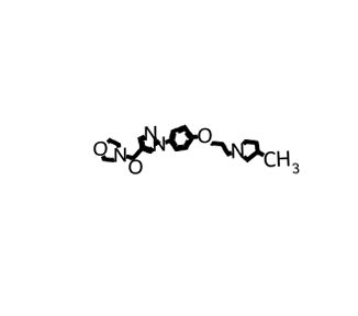 CC1CCN(CCCOc2ccc(-n3cc(C(=O)N4CCOCC4)cn3)cc2)C1